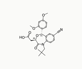 COc1ccc([C@H]2O[C@H](CC(=O)O)C(=O)N(CC(C)(C)C)c3ccc(C#N)cc32)c(OC)c1